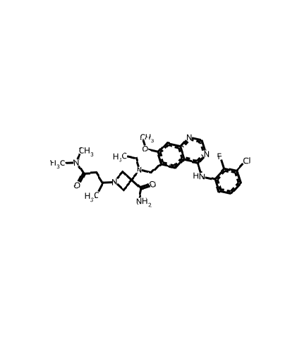 CCN(Cc1cc2c(Nc3cccc(Cl)c3F)ncnc2cc1OC)C1(C(N)=O)CN(C(C)CC(=O)N(C)C)C1